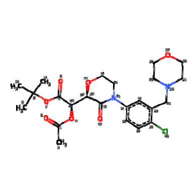 CC(=O)O[C@@H](C(=O)OC(C)(C)C)[C@H]1OCCN(c2ccc(Cl)c(CN3CCOCC3)c2)C1=O